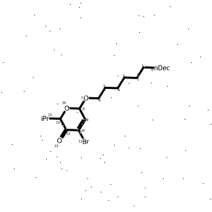 CCCCCCCCCCCCCCCCOC1C=C(Br)C(=O)C(C(C)C)O1